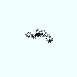 O=[N+]([O-])c1ccc(N2CCCC(N[C@@H]3CCCC[C@H]3Nc3ncc(-c4ccccc4F)o3)C2)cc1